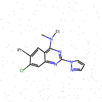 CCN(C)c1nc(-n2cccn2)nc2cc(Cl)c(C(C)C)cc12